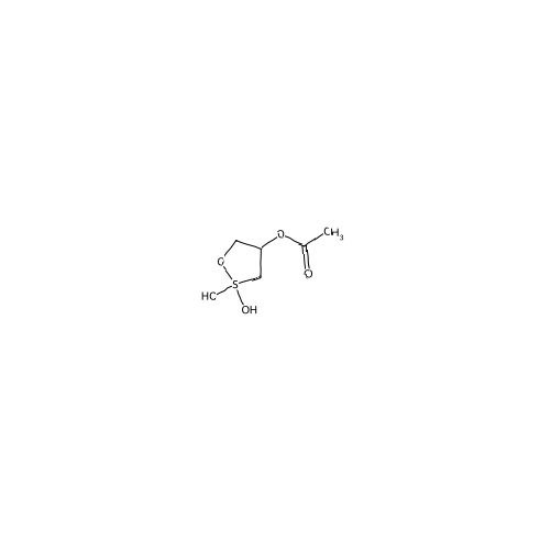 CC(=O)OC1COS(O)(O)C1